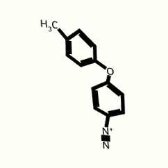 Cc1ccc(Oc2ccc([N+]#N)cc2)cc1